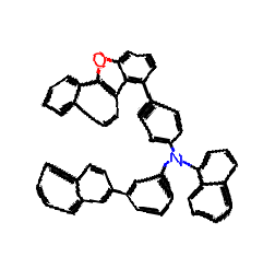 c1cc(-c2ccc3ccccc3c2)cc(N(c2ccc(-c3cccc4oc5c6ccccc6ccc5c34)cc2)c2cccc3ccccc23)c1